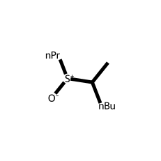 CCCCC(C)[S+]([O-])CCC